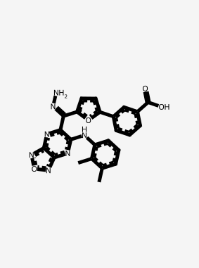 Cc1cccc(Nc2nc3nonc3nc2C(=NN)c2ccc(-c3cccc(C(=O)O)c3)o2)c1C